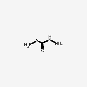 BSC(=O)NN